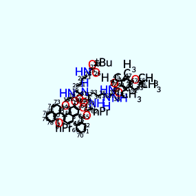 CCCOc1ccc2ccccc2c1-c1c(OCC(=O)N[C@H](CCCCNC(=O)OC(C)(C)C)C(=O)N[C@H](CCCNC(=N)NS(=O)(=O)c2c(C)c(C)c3c(c2C)CCC(C)(C)O3)C(=O)N[C@@H](CCC)C(=O)OCc2ccccc2)ccc2ccccc12